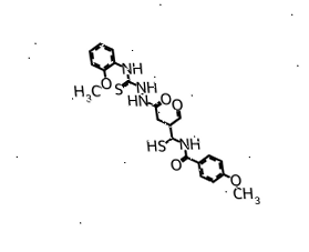 COc1ccc(C(=O)NC(S)C(C=O)CC(=O)NNC(=S)Nc2ccccc2OC)cc1